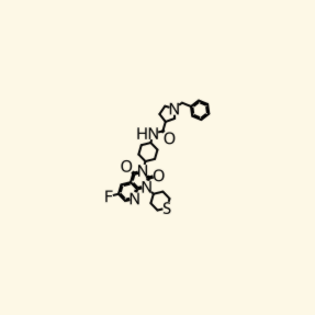 O=C(NC1CCC(n2c(=O)c3cc(F)cnc3n(C3CCSCC3)c2=O)CC1)C1CCN(Cc2ccccc2)C1